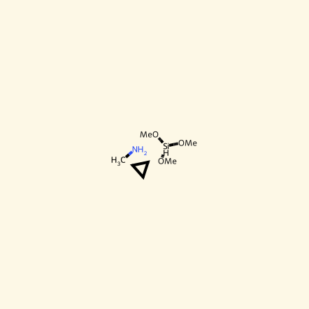 C1CC1.CN.CO[SiH](OC)OC